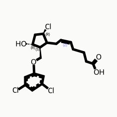 O=C(O)CCC/C=C\CC1[C@H](Cl)C[C@@H](O)[C@@H]1COc1cc(Cl)cc(Cl)c1